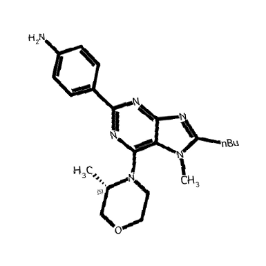 CCCCc1nc2nc(-c3ccc(N)cc3)nc(N3CCOC[C@@H]3C)c2n1C